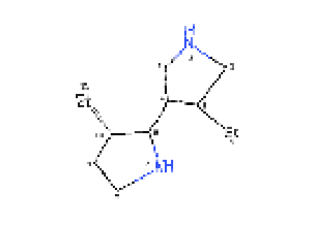 CCC1CNCC1C1NCC[C@@H]1CC